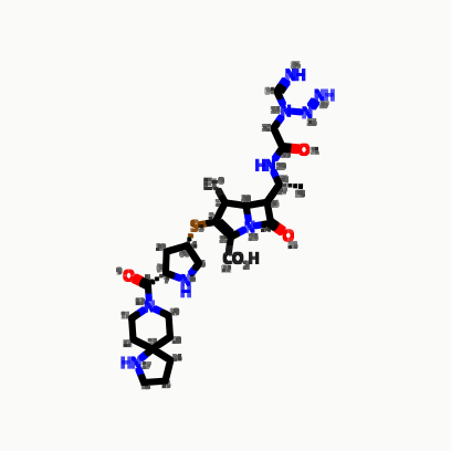 CCC1C(S[C@@H]2CN[C@H](C(=O)N3CCC4(CCCN4)CC3)C2)=C(C(=O)O)N2C(=O)C([C@@H](C)NC(=O)CN(C=N)N=N)C12